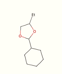 CCC1COC(C2CCCCC2)O1